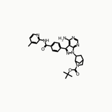 Cc1ccnc(NC(=O)c2ccc(-c3nn(C4CC5CC4N(C(=O)OC(C)(C)C)C5)c4ncnc(N)c34)cc2)c1